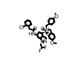 COc1ccc(CN(Cc2ccc(OC)cc2)S(=O)(=O)c2cc(NC(=O)Cc3ccccc3Cl)cc3c2cnn3CC(F)F)cc1